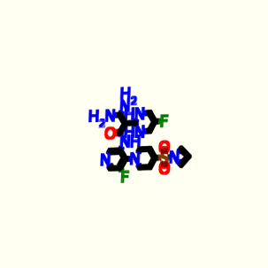 NC(N)C(C(=O)Nc1cncc(F)c1N1CCC(S(=O)(=O)N2CCC2)CC1)C1NCC(F)CN1